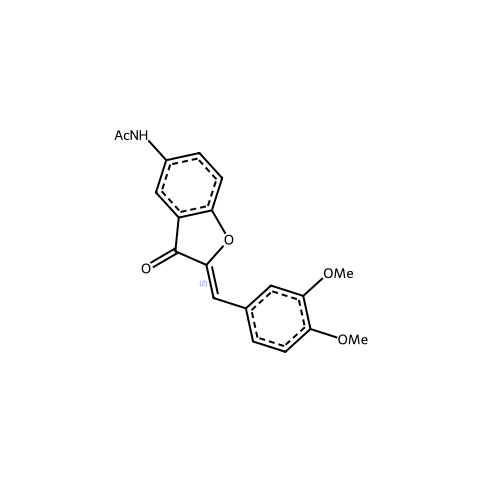 COc1ccc(/C=C2\Oc3ccc(NC(C)=O)cc3C2=O)cc1OC